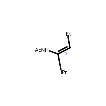 CC/C=C(\NC(C)=O)C(C)C